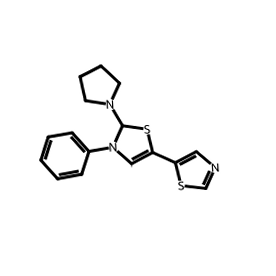 [C]1=C(c2cncs2)SC(N2CCCC2)N1c1ccccc1